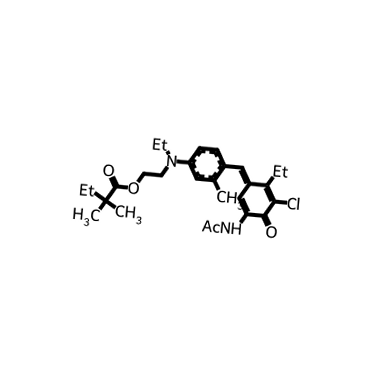 CCC1=C(Cl)C(=O)C(NC(C)=O)=C/C1=C\c1ccc(N(CC)CCOC(=O)C(C)(C)CC)cc1C